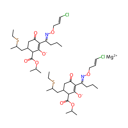 CCCC(=NOC/C=C/Cl)C1=C([O-])C(C(=O)OC(C)C)C(CC(C)SCC)CC1=O.CCCC(=NOC/C=C/Cl)C1=C([O-])C(C(=O)OC(C)C)C(CC(C)SCC)CC1=O.[Mg+2]